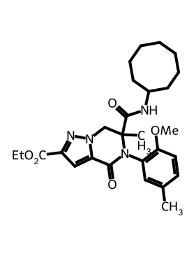 CCOC(=O)c1cc2n(n1)CC(C)(C(=O)NC1CCCCCCC1)N(c1cc(C)ccc1OC)C2=O